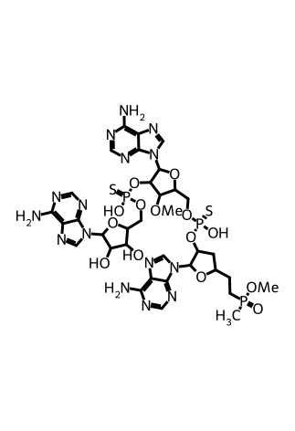 COC1C(COP(O)(=S)OC2CC(CCP(C)(=O)OC)OC2n2cnc3c(N)ncnc32)OC(n2cnc3c(N)ncnc32)C1OP(O)(=S)OCC1OC(n2cnc3c(N)ncnc32)C(O)C1O